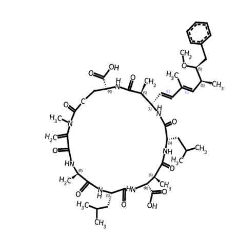 C=C1C(=O)N[C@H](C)C(=O)N[C@@H](CC(C)C)C(=O)N[C@@H](C(=O)O)[C@H](C)C(=O)N[C@@H](CC(C)C)C(=O)N[C@@H](/C=C/C(C)=C/[C@H](C)[C@H](Cc2ccccc2)OC)[C@H](C)C(=O)N[C@@H](C(=O)O)CCC(=O)N1C